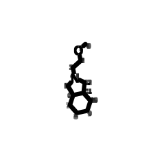 COCCN1CC2CCCCC2C1